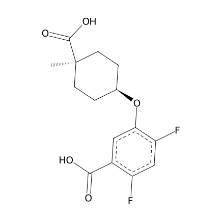 C[C@]1(C(=O)O)CC[C@@H](Oc2cc(C(=O)O)c(F)cc2F)CC1